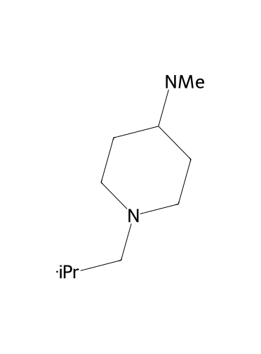 CNC1CCN(C[C](C)C)CC1